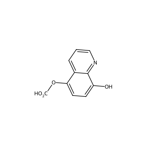 O=C(O)Oc1ccc(O)c2ncccc12